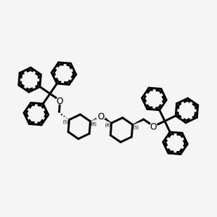 c1ccc(C(OC[C@H]2CCC[C@@H](O[C@@H]3CCC[C@H](COC(c4ccccc4)(c4ccccc4)c4ccccc4)C3)C2)(c2ccccc2)c2ccccc2)cc1